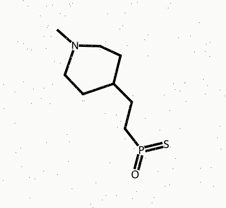 CN1CCC(CCP(=O)=S)CC1